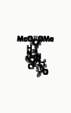 C=CC(=O)N1CCC(n2nc(C#Cc3cc(OC)cc(OC)c3)c3c(N)ncc(C(F)(F)F)c32)C1